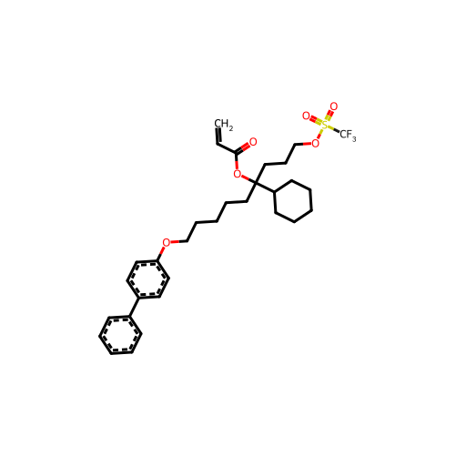 C=CC(=O)OC(CCCCCOc1ccc(-c2ccccc2)cc1)(CCCOS(=O)(=O)C(F)(F)F)C1CCCCC1